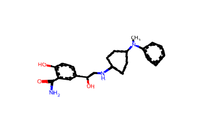 CN(c1ccccc1)C1CCC(NCC(O)c2ccc(O)c(C(N)=O)c2)CC1